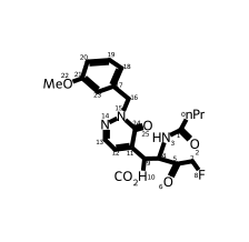 CCCC(=O)NC(C(=O)CF)C(C(=O)O)c1ccnn(Cc2cccc(OC)c2)c1=O